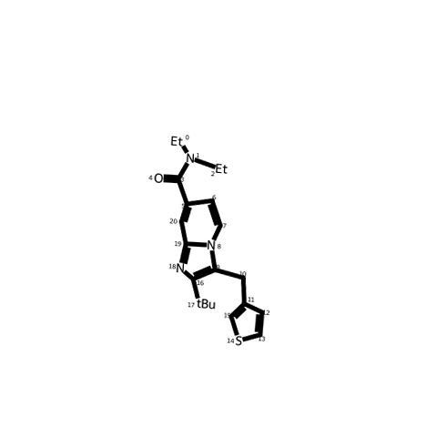 CCN(CC)C(=O)c1ccn2c(Cc3ccsc3)c(C(C)(C)C)nc2c1